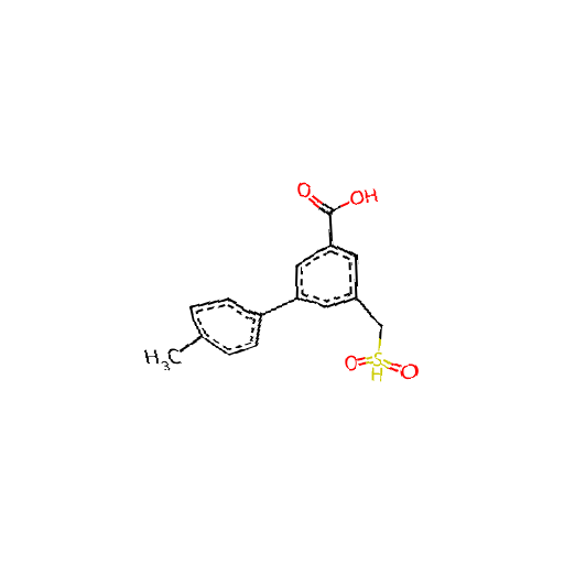 Cc1ccc(-c2cc(C[SH](=O)=O)cc(C(=O)O)c2)cc1